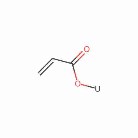 C=CC(=O)[O][U]